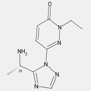 CCn1nc(-n2ncnc2[C@H](C)N)ccc1=O